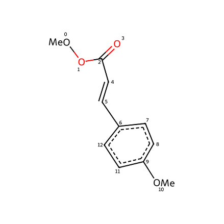 COOC(=O)C=Cc1ccc(OC)cc1